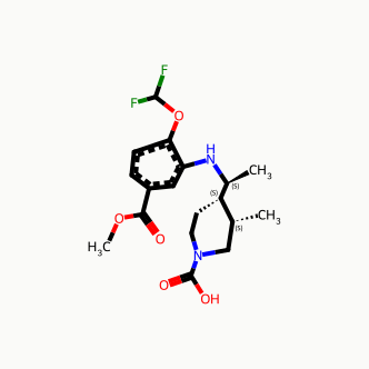 COC(=O)c1ccc(OC(F)F)c(N[C@@H](C)[C@H]2CCN(C(=O)O)C[C@H]2C)c1